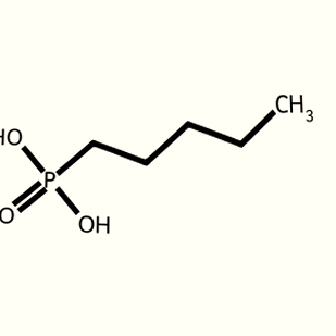 CCCCCP(=O)(O)O